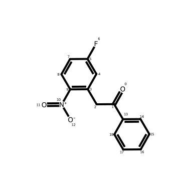 O=C(Cc1cc(F)ccc1[N+](=O)[O-])c1ccccc1